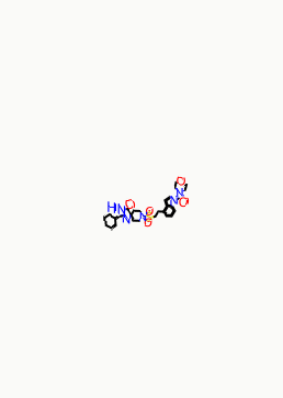 O=C(N1CCOCC1)n1ccc2c(C=CS(=O)(=O)N3CCC4(CC3)N=C(C3CCCCC3)NC4=O)cccc21